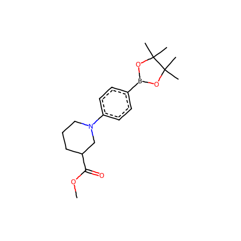 COC(=O)C1CCCN(c2ccc(B3OC(C)(C)C(C)(C)O3)cc2)C1